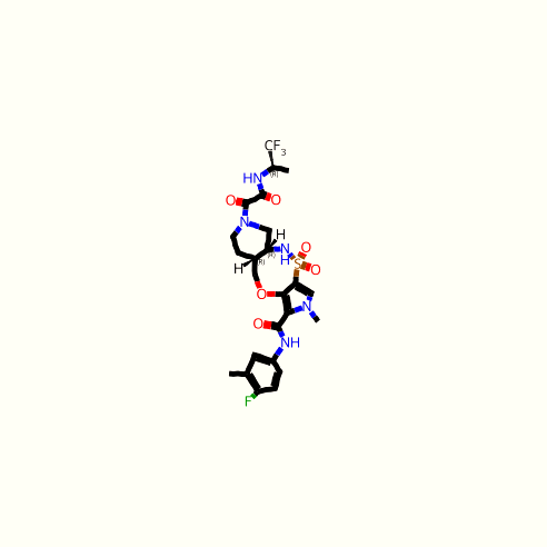 Cc1cc(NC(=O)c2c3c(cn2C)S(=O)(=O)N[C@H]2CN(C(=O)C(=O)N[C@H](C)C(F)(F)F)CC[C@H]2CO3)ccc1F